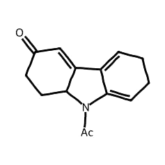 CC(=O)N1C2=CCCC=C2C2=CC(=O)CCC21